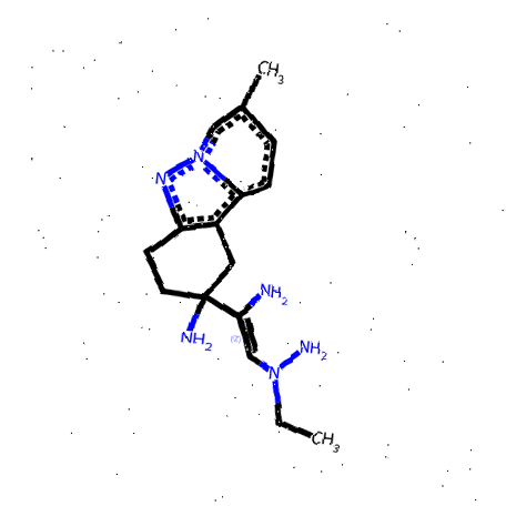 CCN(N)/C=C(\N)C1(N)CCc2nn3cc(C)ccc3c2C1